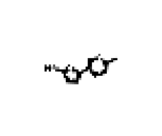 Cc1ccc(-c2ccc(S)s2)cn1